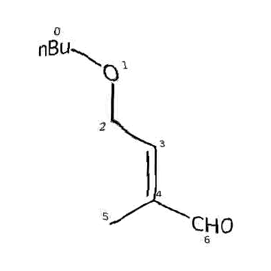 CCCCOC/C=C(\C)C=O